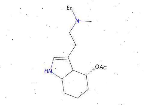 CCN(C)CCC1=CNC2CCC[C@@H](OC(C)=O)C12